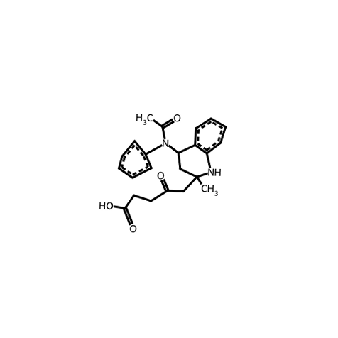 CC(=O)N(c1ccccc1)C1CC(C)(CC(=O)CCC(=O)O)Nc2ccccc21